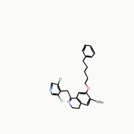 COc1cc2c(cc1OCCCCCc1ccccc1)C(Cc1c(Cl)cncc1Cl)=NCC2